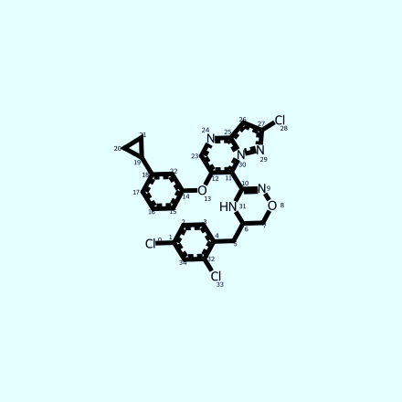 Clc1ccc(CC2CON=C(c3c(Oc4cccc(C5CC5)c4)cnc4cc(Cl)nn34)N2)c(Cl)c1